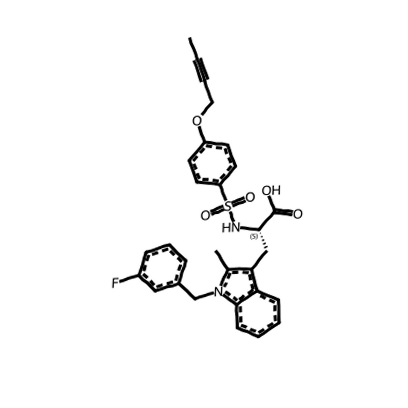 CC#CCOc1ccc(S(=O)(=O)N[C@@H](Cc2c(C)n(Cc3cccc(F)c3)c3ccccc23)C(=O)O)cc1